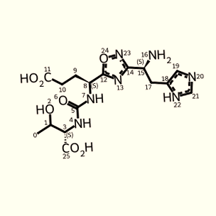 CC(O)[C@H](NC(=O)N[C@@H](CCC(=O)O)c1nc([C@@H](N)Cc2cnc[nH]2)no1)C(=O)O